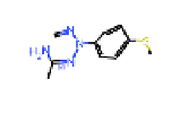 C=NN(/N=C(/C)N)c1ccc(SC)cc1